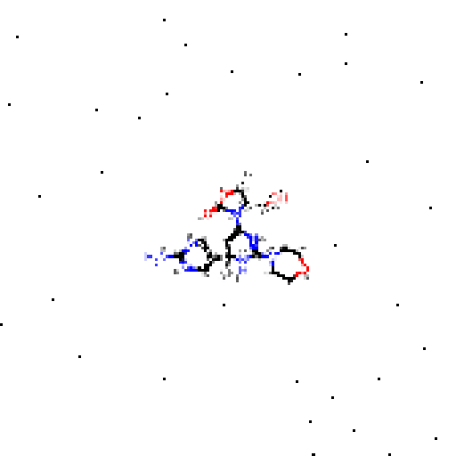 C[C@H]1OC(=O)N(C2=CC(c3cnc(N)nc3)(C(F)(F)F)NC(N3CCOCC3)=N2)[C@H]1CO